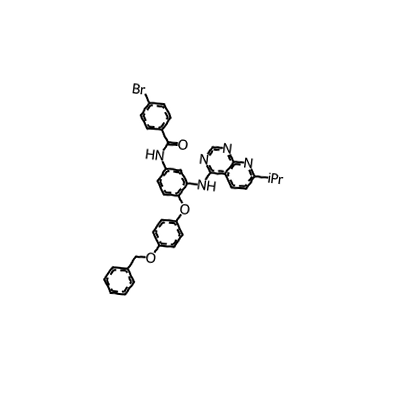 CC(C)c1ccc2c(Nc3cc(NC(=O)c4ccc(Br)cc4)ccc3Oc3ccc(OCc4ccccc4)cc3)ncnc2n1